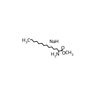 CCCCCCCCCCCCC(N)C(=O)OC.[NaH]